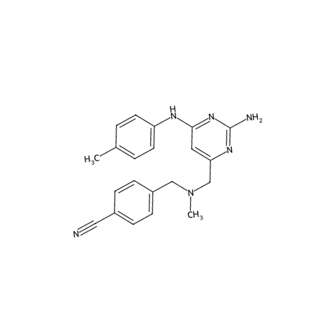 Cc1ccc(Nc2cc(CN(C)Cc3ccc(C#N)cc3)nc(N)n2)cc1